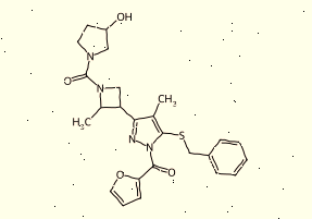 Cc1c(C2CN(C(=O)N3CCC(O)C3)C2C)nn(C(=O)c2ccco2)c1SCc1ccccc1